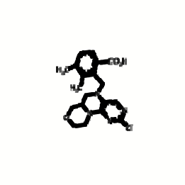 Cc1ccc(C(=O)O)c(CN2CC3COCCN3c3nc(Cl)ncc32)c1C